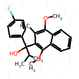 COc1c(C)c(C(O)(c2ccc(F)cc2)C(C)C)c(OC)c2ccccc12